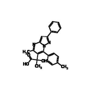 Cc1ccc(-c2c(C(C)(O)C(=O)O)c(C)nc3cc(-c4ccccc4)nn23)cc1